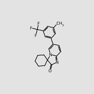 Cc1cc(C2=CN3C(=NC(=O)C34CCCCC4)C=C2)cc(C(F)(F)F)c1